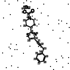 CC(C)(C)OC(=O)N1CCC(c2nc(C#CCc3ccccc3)cs2)CC1